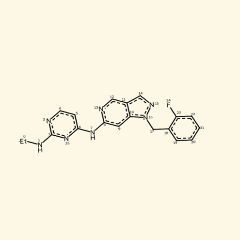 [CH2][CH]Nc1nccc(Nc2cc3c(cn2)cnn3Cc2ccccc2F)n1